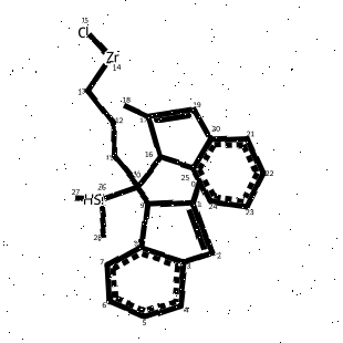 CC1=Cc2ccccc2C1C(CC[CH2][Zr][Cl])(C1C(C)=Cc2ccccc21)[SiH](C)C